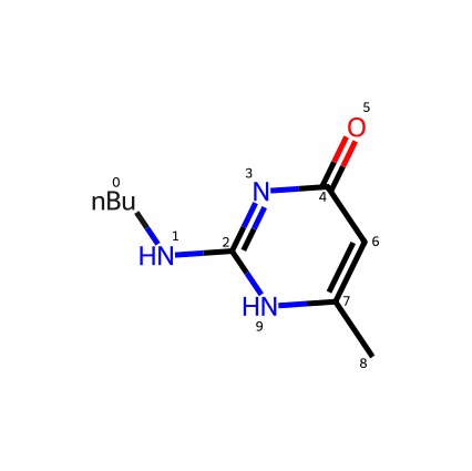 CCCCNc1nc(=O)cc(C)[nH]1